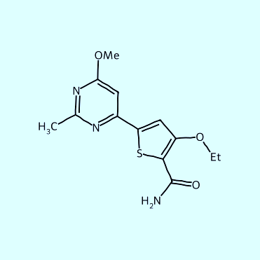 CCOc1cc(-c2cc(OC)nc(C)n2)sc1C(N)=O